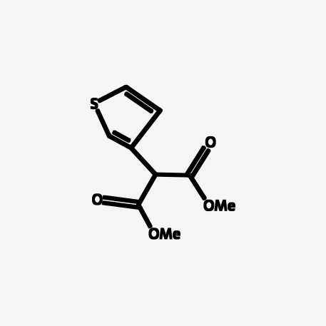 COC(=O)C(C(=O)OC)c1ccsc1